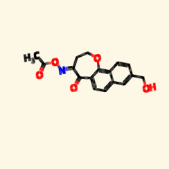 CC(=O)O/N=C1\CCOc2c(ccc3cc(CO)ccc23)C1=O